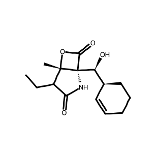 CCC1C(=O)N[C@@]2([C@@H](O)[C@@H]3C=CCCC3)C(=O)O[C@@]12C